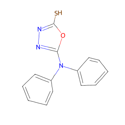 Sc1nnc(N(c2ccccc2)c2ccccc2)o1